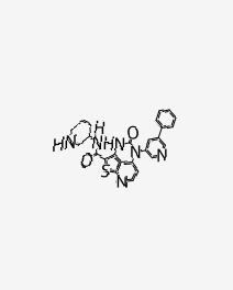 O=C(NC1CCCNC1)c1sc2nccc3c2c1NC(=O)N3c1cncc(-c2ccccc2)c1